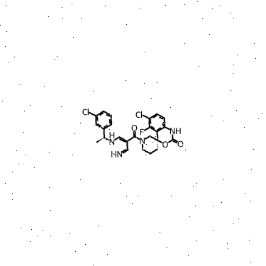 C[C@H](N/C=C(\C=N)C(=O)N1CCC[C@@]2(C1)OC(=O)Nc1ccc(Cl)c(F)c12)c1cccc(Cl)c1